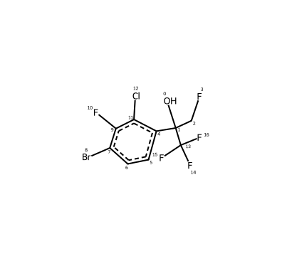 OC(CF)(c1ccc(Br)c(F)c1Cl)C(F)(F)F